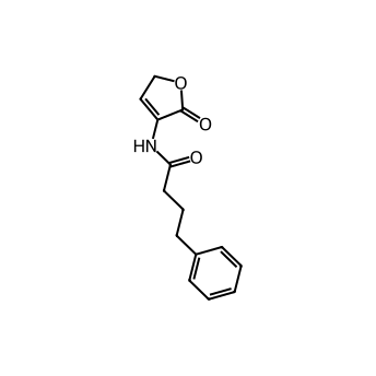 O=C(CCCc1ccccc1)NC1=CCOC1=O